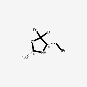 CCCC[C@H]1N[C@@H](CC(C)C)C(CC)(CC)O1